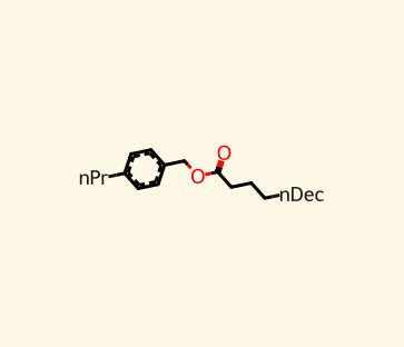 CCCCCCCCCCCCCC(=O)OCc1ccc(CCC)cc1